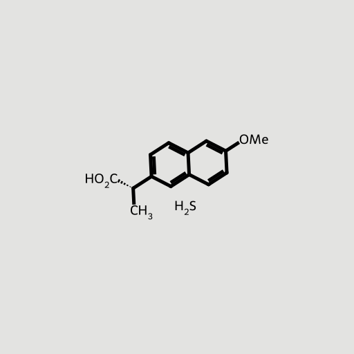 COc1ccc2cc([C@H](C)C(=O)O)ccc2c1.S